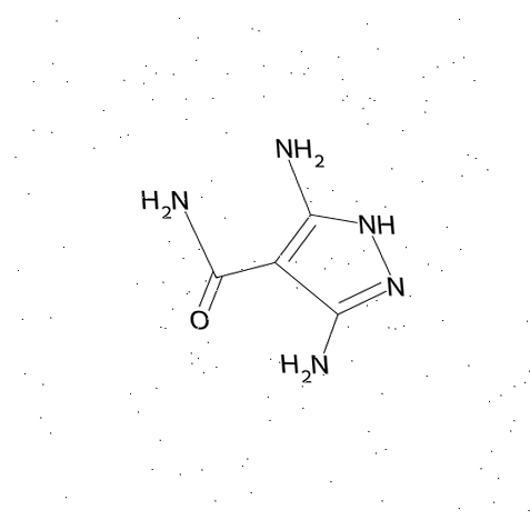 NC(=O)c1c(N)n[nH]c1N